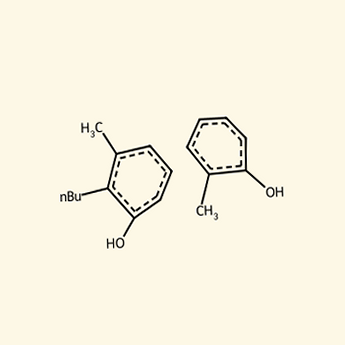 CCCCc1c(C)cccc1O.Cc1ccccc1O